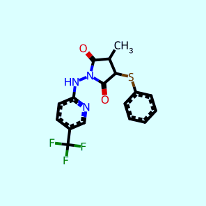 CC1C(=O)N(Nc2ccc(C(F)(F)F)cn2)C(=O)C1Sc1ccccc1